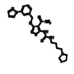 NC(=O)c1c(OCc2cccc(-n3cccn3)c2)nsc1NC(=O)NCCCCN1CCCC1